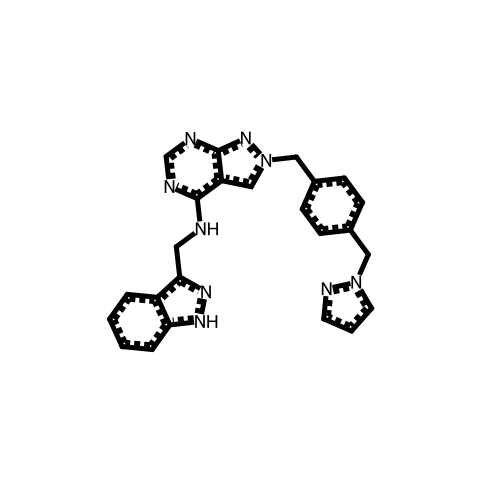 c1ccc2c(CNc3ncnc4nn(Cc5ccc(Cn6cccn6)cc5)cc34)n[nH]c2c1